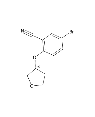 N#Cc1cc(Br)ccc1O[C@@H]1CCOC1